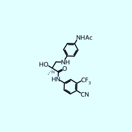 CC(=O)Nc1ccc(NC[C@](C)(O)C(=O)Nc2ccc(C#N)c(C(F)(F)F)c2)cc1